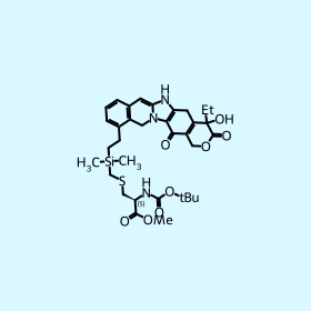 CCC1(O)C(=O)OCC2=C1CC1=C(C2=O)N2Cc3c(cccc3CC[Si](C)(C)CSC[C@@H](NC(=O)OC(C)(C)C)C(=O)OC)C=C2N1